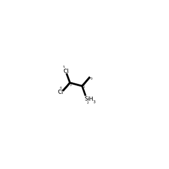 CC([SiH3])C(Cl)Cl